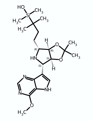 COc1ncnc2c([C@@H]3N[C@H](CCC(C)(C)[Si](C)(C)O)[C@H]4OC(C)(C)O[C@H]43)c[nH]c12